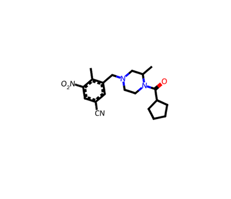 Cc1c(CN2CCN(C(=O)C3CCCC3)C(C)C2)cc(C#N)cc1[N+](=O)[O-]